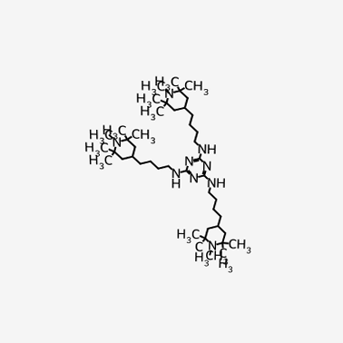 CN1C(C)(C)CC(CCCCNc2nc(NCCCCC3CC(C)(C)N(C)C(C)(C)C3)nc(NCCCCC3CC(C)(C)N(C)C(C)(C)C3)n2)CC1(C)C